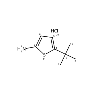 CC(C)(C)c1ccc(N)s1.Cl